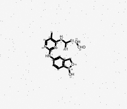 CCC(CC)Nc1nc(Nc2ccc3c(c2)COB3O)ncc1C.O=CO